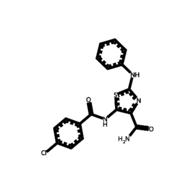 NC(=O)c1nc(Nc2ccccc2)sc1NC(=O)c1ccc(Cl)cc1